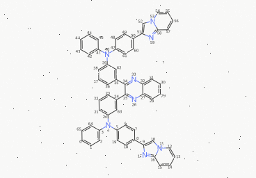 c1ccc(N(c2ccc(-c3cn4ccccc4n3)cc2)c2cccc(-c3nc4ccccc4nc3-c3cccc(N(c4ccccc4)c4ccc(-c5cn6ccccc6n5)cc4)c3)c2)cc1